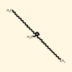 [CH2]CCc1c(CCCCCCCCCCCCCCCCCCCCCCC)cccc1CCCCCCCCCCCCCCCCCCCCCCC